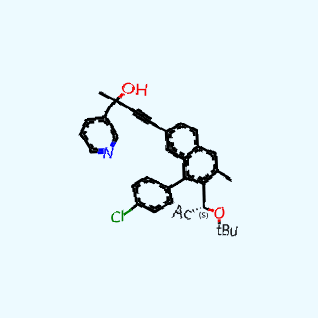 CC(=O)[C@@H](OC(C)(C)C)c1c(C)cc2ccc(C#CC(C)(O)c3cccnc3)cc2c1-c1ccc(Cl)cc1